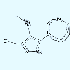 CNc1c(Cl)n[nH]c1-c1cccnc1